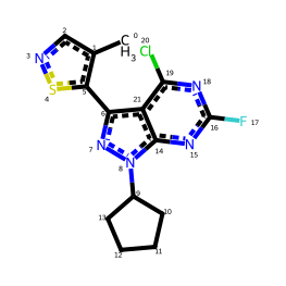 Cc1cnsc1-c1nn(C2CCCC2)c2nc(F)nc(Cl)c12